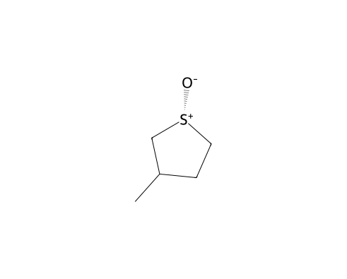 CC1CC[S@@+]([O-])C1